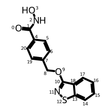 O=C(NO)c1ccc(COc2nsc3ccccc23)cc1